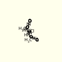 Cc1cc(Nc2nc(Cl)nc(Nc3ccc(N=Nc4ccccc4)cc3C)n2)ccc1N=Nc1ccccc1